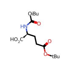 CC(C)COC(=O)N[C@@H](CCC(=O)OC(C)(C)C)C(=O)O